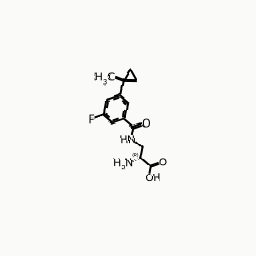 CC1(c2cc(F)cc(C(=O)NC[C@@H](N)C(=O)O)c2)CC1